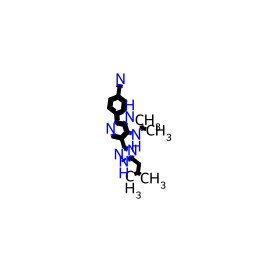 CC(C)Cc1nc(-c2cnc3c([nH]c4cc(C#N)ccc43)c2NC(C)C)n[nH]1